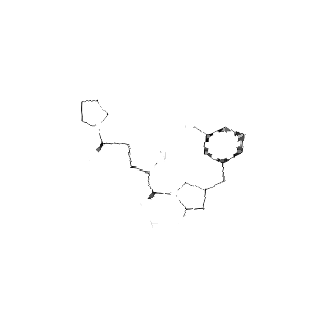 N[C@H](CCC(=O)N1CCCC1)C(=O)N1CC(Cc2cccc(Cl)c2)CC1C(=O)O